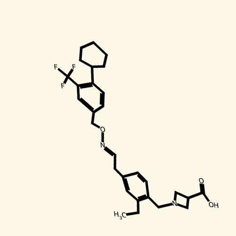 CCc1cc(CC=NOCc2ccc(C3CCCCC3)c(C(F)(F)F)c2)ccc1CN1CC(C(=O)O)C1